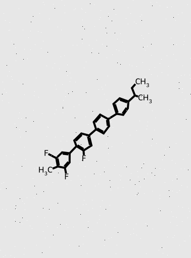 CCC(C)c1ccc(-c2ccc(-c3ccc(-c4cc(F)c(C)c(F)c4)c(F)c3)cc2)cc1